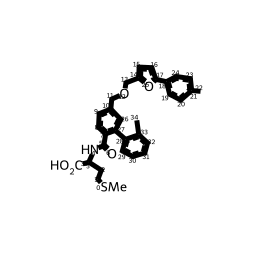 CSCCC(NC(=O)c1ccc(COCc2ccc(-c3ccc(C)cc3)o2)cc1-c1ccccc1C)C(=O)O